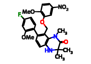 COc1ccc([N+](=O)[O-])cc1OCc1c(-c2ccc(F)cc2OC)ccc2c1N(C)C(=O)C(C)(C)N2